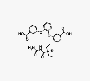 CCC(Br)(CC)C(=O)NC(N)=O.O=C(O)c1cccc(Oc2ccccc2Oc2cccc(C(=O)O)c2)c1